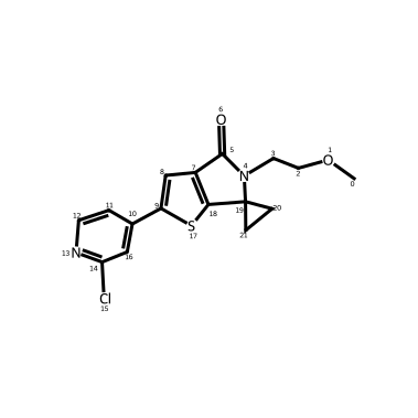 COCCN1C(=O)c2cc(-c3ccnc(Cl)c3)sc2C12CC2